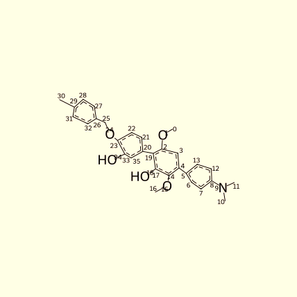 COc1cc(-c2ccc(N(C)C)cc2)c(OC)c(O)c1-c1ccc(OCc2ccc(C)cc2)c(O)c1